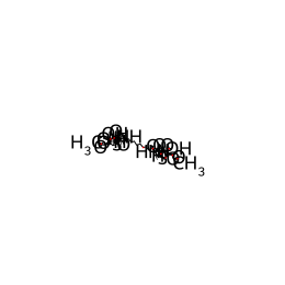 CC(=O)OCC1=C(C(=O)O)N2C(=O)[C@@H](NC(=O)CCCCCCCCC(=O)N[C@@H]3C(=O)N4C(C(=O)O)=C(COC(C)=O)CS[C@H]34)[C@H]2SC1